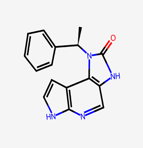 C[C@H](c1ccccc1)n1c(=O)[nH]c2cnc3[nH]ccc3c21